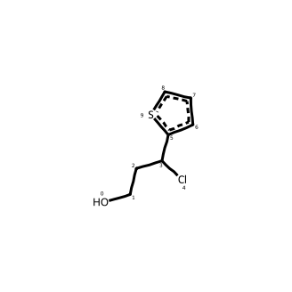 OCCC(Cl)c1cccs1